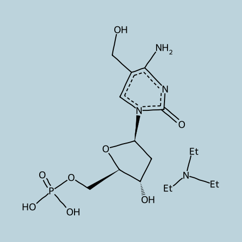 CCN(CC)CC.Nc1nc(=O)n([C@H]2C[C@H](O)[C@@H](COP(=O)(O)O)O2)cc1CO